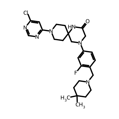 CC1(C)CCN(Cc2ccc(N3CC(=O)NC4(CCN(c5cc(Cl)ncn5)CC4)C3)cc2F)CC1